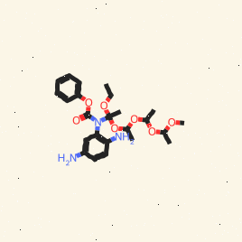 CCOC(C)(OC(C)OC(C)OC(C)OC)N(C(=O)Oc1ccccc1)c1cc(N)ccc1N